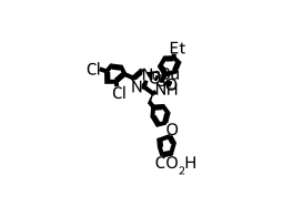 CCCCn1cc(-c2ccc(Cl)cc2Cl)nc1[C@H](Cc1ccc(Oc2ccc(C(=O)O)cc2)cc1)NS(=O)(=O)c1ccc(CC)cc1